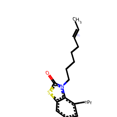 C/C=C/CCCCCn1c(=O)sc2cccc(CCC)c21